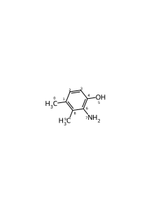 Cc1ccc(O)c(N)c1C